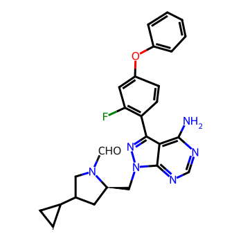 Nc1ncnc2c1c(-c1ccc(Oc3ccccc3)cc1F)nn2C[C@H]1CC(C2[CH]C2)CN1C=O